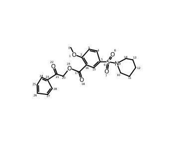 COc1ccc(S(=O)(=O)N2CCCCC2)cc1C(=O)OCC(=O)c1ccccc1